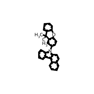 CC1(C)c2ccccc2Oc2ccc(-n3c4ccccc4c4c5ccccc5ccc43)cc21